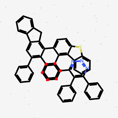 c1ccc(-c2cc3c(c(-c4ccc5sc6ccccc6c5c4-c4ccccc4-c4nnnc(-c5ccccc5)c4-c4ccccc4)c2-c2ccccc2)Cc2ccccc2-3)cc1